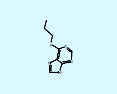 CCCSc1ncnc2[nH]cnc12